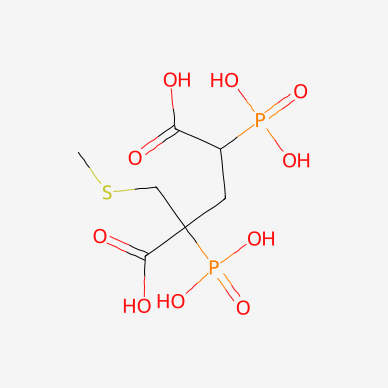 CSCC(CC(C(=O)O)P(=O)(O)O)(C(=O)O)P(=O)(O)O